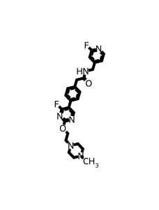 CN1CCN(CCOc2ncc(-c3ccc(CC(=O)NCc4ccnc(F)c4)cc3)c(F)n2)CC1